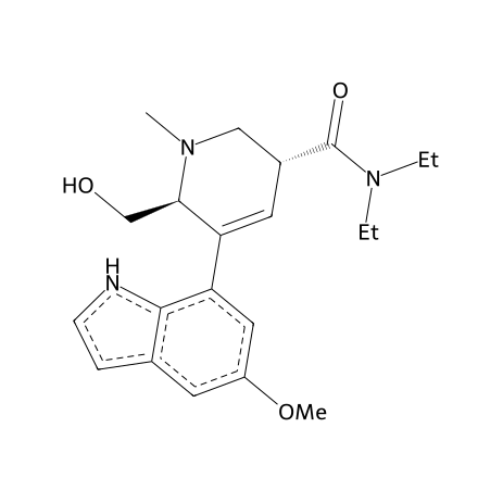 CCN(CC)C(=O)[C@@H]1C=C(c2cc(OC)cc3cc[nH]c23)[C@@H](CO)N(C)C1